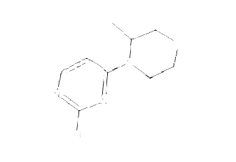 CC1COCCN1c1ccnc(Cl)n1